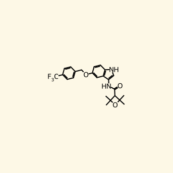 CC1(C)OC(C)(C)C1C(=O)Nc1c[nH]c2ccc(OCc3ccc(C(F)(F)F)cc3)cc12